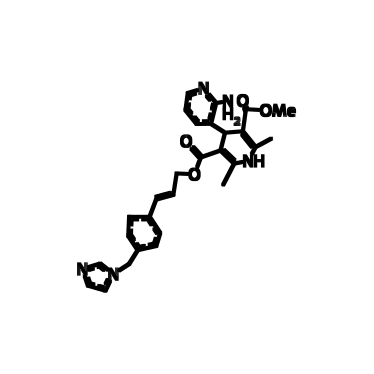 COC(=O)C1=C(C)NC(C)=C(C(=O)OCC=Cc2ccc(Cn3ccnc3)cc2)C1c1cccnc1N